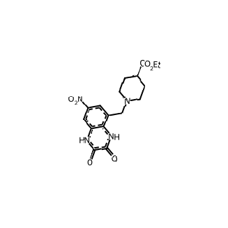 CCOC(=O)C1CCN(Cc2cc([N+](=O)[O-])cc3[nH]c(=O)c(=O)[nH]c23)CC1